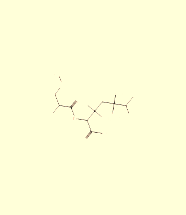 CCCOCC(CC)C(=O)NC(C(=O)C(C)C)C(C)(C)CC(C)(C)C(C)I